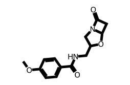 COc1ccc(C(=O)NCC2CN3C(=O)CC3O2)cc1